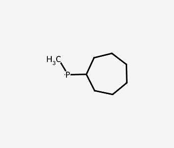 C[P]C1CCCCCC1